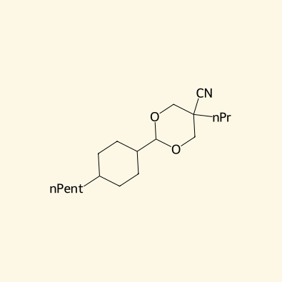 CCCCCC1CCC(C2OCC(C#N)(CCC)CO2)CC1